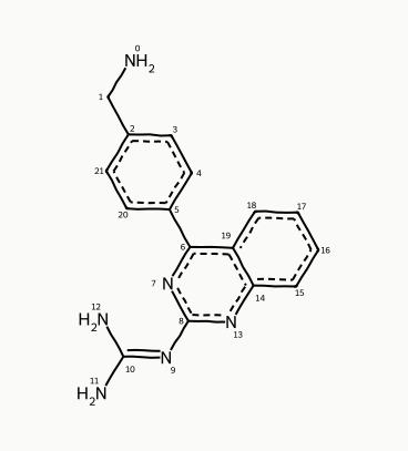 NCc1ccc(-c2nc(N=C(N)N)nc3ccccc23)cc1